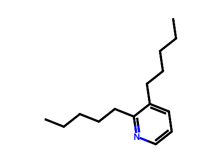 CCCCCc1cccnc1CCCCC